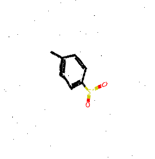 Cc1ccc([S+](=O)=O)cc1